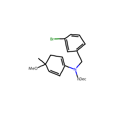 CCCCCCCCCCN(Cc1cccc(Br)c1)C1=CCC(C)(OC)C=C1